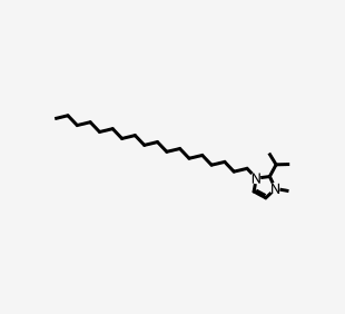 CCCCCCCCCCCCCCCCCCN1C=CN(C)C1C(C)C